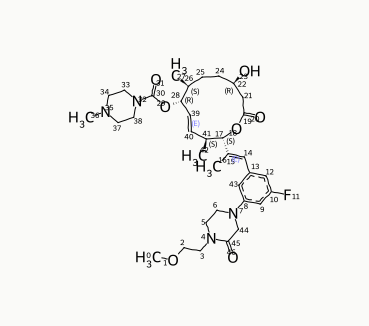 COCCN1CCN(c2cc(F)cc(/C=C(\C)[C@H]3OC(=O)C[C@H](O)CC[C@H](C)[C@@H](OC(=O)N4CCN(C)CC4)/C=C/[C@@H]3C)c2)CC1=O